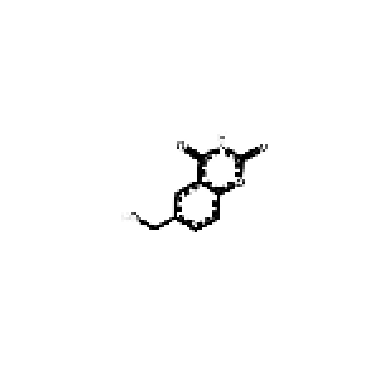 O=c1[nH]c(=O)c2cc(CO)ccc2o1